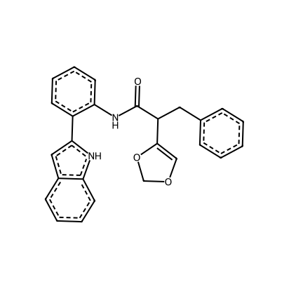 O=C(Nc1ccccc1-c1cc2ccccc2[nH]1)C(Cc1ccccc1)C1=COCO1